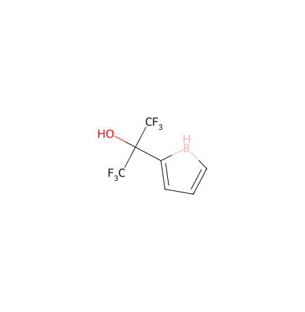 OC(C1=CC=CB1)(C(F)(F)F)C(F)(F)F